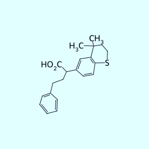 CC1(C)CCSc2ccc(C(CCc3ccccc3)C(=O)O)cc21